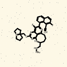 C#Cc1c(F)ccc2cccc(-c3nc4c5c(nc(OCC67CCCN6CCC7)nc5c3F)NC(CNCCCC)CCC4)c12